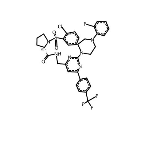 O=C(NCc1cc(-c2ccc(C(F)(F)F)cc2)nc(N2CCN(c3ccccc3F)CC2)n1)[C@@H]1CCCN1S(=O)(=O)c1ccccc1Cl